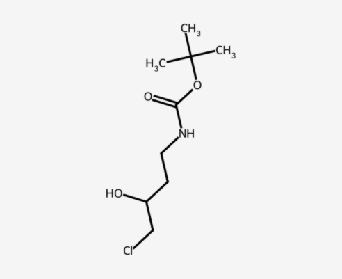 CC(C)(C)OC(=O)NCCC(O)CCl